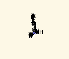 O=C(CCCc1ccc(OCCN2CCCC2)cc1)c1n[nH]cc1/C=C/c1cccnc1